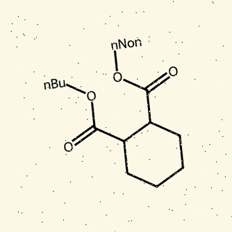 CCCCCCCCCOC(=O)C1CCCCC1C(=O)OCCCC